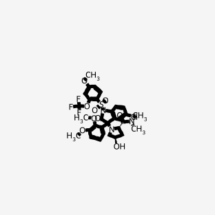 COc1ccc(S(=O)(=O)N2C(=O)C(c3cccc(OC)c3OC)(N3C[C@H](O)C[C@H]3C(=O)N(C)C)c3cc(Cl)ccc32)c(OC(F)(F)F)c1